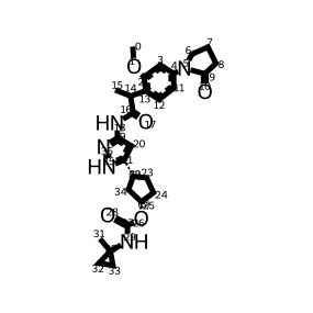 COc1cc(N2CCCC2=O)ccc1C(C)C(=O)Nc1cc([C@@H]2CC[C@H](OC(=O)NC3(C)CC3)C2)[nH]n1